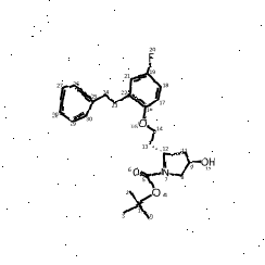 CC(C)(C)OC(=O)N1C[C@H](O)C[C@H]1CCOc1ccc(F)cc1CCc1ccccc1